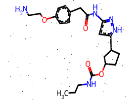 CCCNC(=O)OC1CCC(c2cc(NC(=O)Cc3ccc(OCCN)cc3)n[nH]2)C1